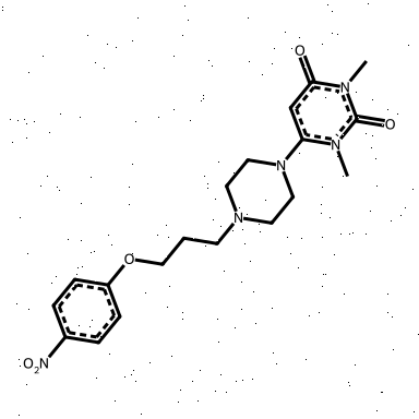 Cn1c(N2CCN(CCCOc3ccc([N+](=O)[O-])cc3)CC2)cc(=O)n(C)c1=O